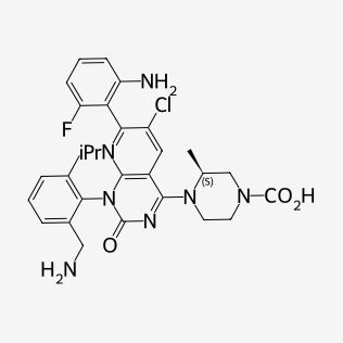 CC(C)c1cccc(CN)c1-n1c(=O)nc(N2CCN(C(=O)O)C[C@@H]2C)c2cc(Cl)c(-c3c(N)cccc3F)nc21